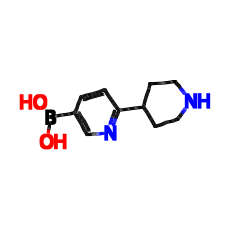 OB(O)c1ccc(C2CCNCC2)nc1